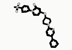 CS(=O)(=O)c1ccc(-n2ccc(OC3CCN(c4ccc(-c5ccccc5)cn4)CC3)cc2=O)cc1